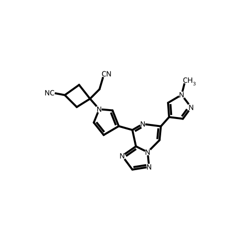 Cn1cc(-c2cn3ncnc3c(-c3ccn(C4(CC#N)CC(C#N)C4)c3)n2)cn1